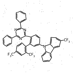 FC(F)(F)c1ccc(-c2cc(-n3c4ccccc4c4cc(C(F)(F)F)ccc43)ccc2-c2nc(-c3ccccc3)nc(-c3ccccc3)n2)c(C(F)(F)F)c1